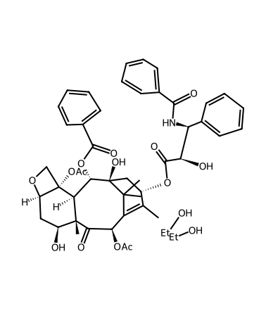 CC(=O)O[C@H]1C(=O)[C@@]2(C)[C@H]([C@H](OC(=O)c3ccccc3)[C@]3(O)C[C@H](OC(=O)[C@H](O)[C@@H](NC(=O)c4ccccc4)c4ccccc4)C(C)=C1C3(C)C)[C@]1(OC(C)=O)CO[C@@H]1C[C@@H]2O.CCO.CCO